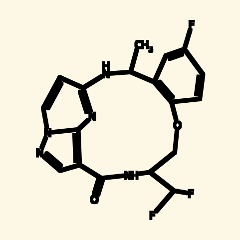 CC1Nc2ccn3ncc(c3n2)C(=O)NC(C(F)F)COc2ccc(F)cc21